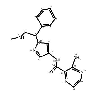 CNCC(c1ccccc1)n1cc(NC(=O)c2nccnc2N)cn1